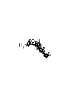 N[C@@H]1C[C@H](C#Cc2cc3c(Nc4ccc(OCc5cccc(F)c5)c(Cl)c4)ncnc3s2)N(C(=O)O)C1